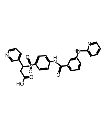 O=C(O)CC(c1cccnc1)S(=O)(=O)c1ccc(NC(=O)c2cccc(Nc3ccccn3)c2)cc1